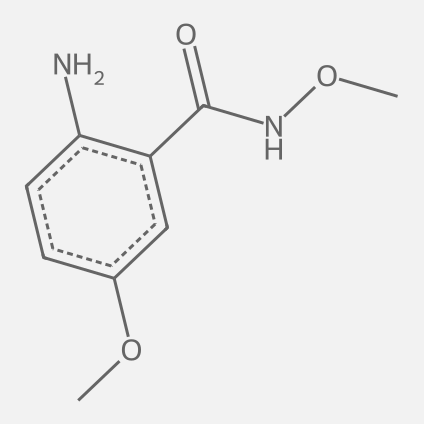 CONC(=O)c1cc(OC)ccc1N